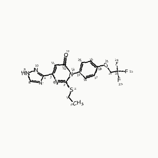 CCSc1nc(-c2nc[nH]n2)cc(=O)n1-c1ccc(OCC(F)(F)F)cc1